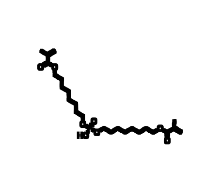 C=C(C)C(=O)OCCCCCCCCOP(=O)(O)OCCCCCCCCOC(=O)C(=C)C